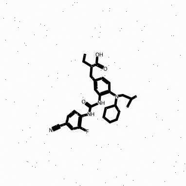 CCC(Cc1ccc(N(CC(C)C)C2CCCCC2)c(NC(=O)Nc2ccc(C#N)cc2F)c1)C(=O)O